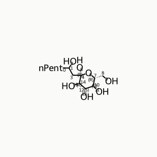 CCCCCC(O)C[C@@]1(O)O[C@H](CO)[C@@H](O)[C@H](O)[C@H]1O